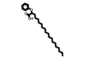 CCCCCCCCCCCCCCCCCCC(Oc1ccccc1)C(=O)O